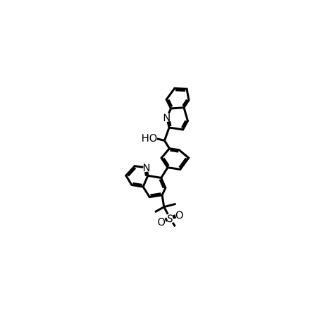 CC(C)(c1cc(-c2cccc(C(O)c3ccc4ccccc4n3)c2)c2ncccc2c1)S(C)(=O)=O